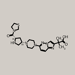 CC(C)(C(=O)O)c1cn2nc(N3CCN([C@@H]4CN[C@H](C(=O)N5CCSC5)C4)CC3)ccc2n1